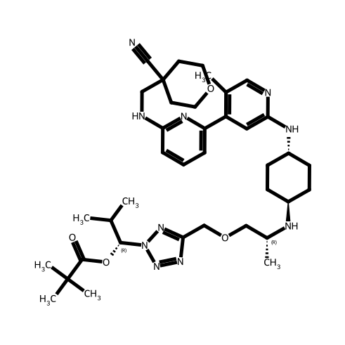 Cc1cnc(N[C@H]2CC[C@H](N[C@H](C)COCc3nnn([C@H](OC(=O)C(C)(C)C)C(C)C)n3)CC2)cc1-c1cccc(NCC2(C#N)CCOCC2)n1